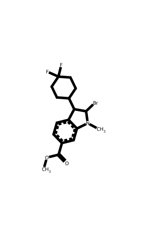 COC(=O)c1ccc2c(c1)N(C)C(Br)C2C1CCC(F)(F)CC1